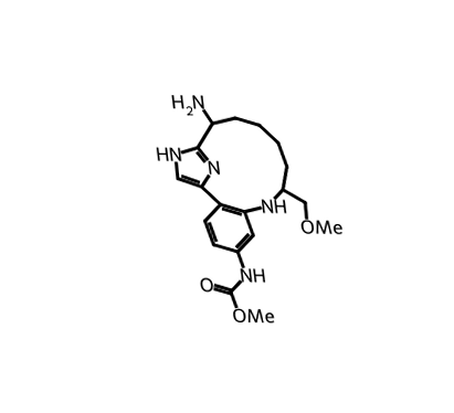 COCC1CCCCC(N)c2nc(c[nH]2)-c2ccc(NC(=O)OC)cc2N1